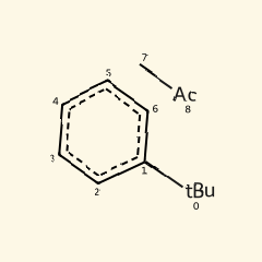 CC(C)(C)c1ccccc1.CC(C)=O